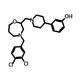 Oc1cccc(C2CCN(CC3CN(Cc4ccc(Cl)c(Cl)c4)CCCO3)CC2)c1